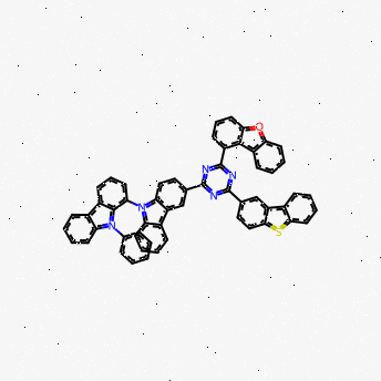 c1ccc(-n2c3ccccc3c3cccc(-n4c5ccccc5c5cc(-c6nc(-c7ccc8sc9ccccc9c8c7)nc(-c7cccc8oc9ccccc9c78)n6)ccc54)c32)cc1